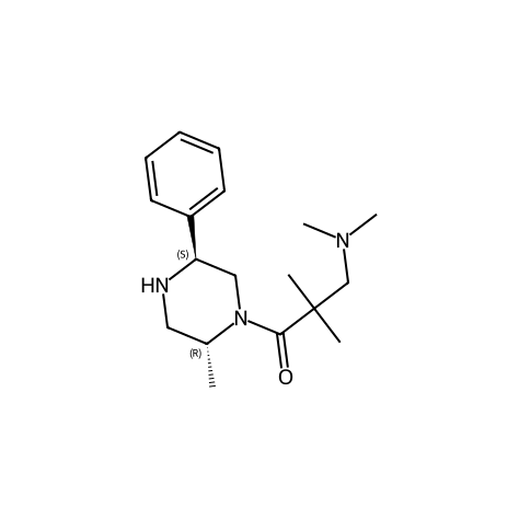 C[C@@H]1CN[C@@H](c2ccccc2)CN1C(=O)C(C)(C)CN(C)C